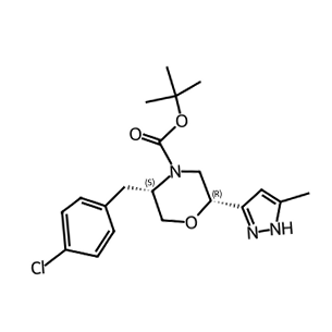 Cc1cc([C@H]2CN(C(=O)OC(C)(C)C)[C@@H](Cc3ccc(Cl)cc3)CO2)n[nH]1